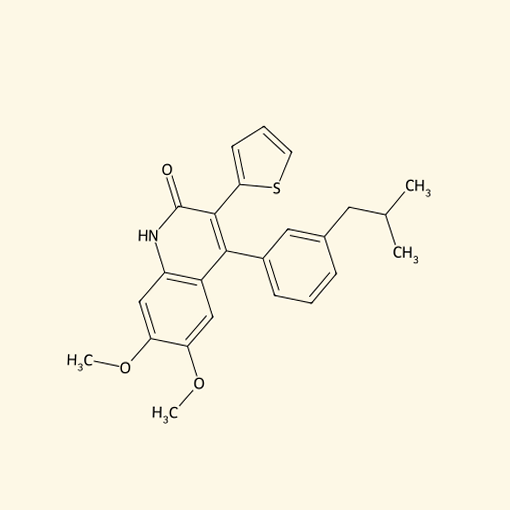 COc1cc2[nH]c(=O)c(-c3cccs3)c(-c3cccc(CC(C)C)c3)c2cc1OC